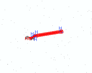 CC(C)c1cc(CCCC(=O)NCc2ccc(/N=N/c3ccc(C(=O)NCCNC(=O)CCOCCOCCOCCOCCOCCOCCOCCOCCOCCOCCOCCOCCOCCOCCOCCOCCOCCOCCOCCOCCOCCOCCOCCOCCNC(=O)CCN4C(=O)C=CC4=O)cc3)cc2)cc(C(C)C)c1O